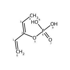 C=CC(=CC)OP(=O)(O)O